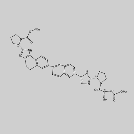 COC(=O)N[C@H](C(=O)N1CCC[C@H]1c1ncc(-c2ccc3cc(-c4ccc5c(c4)CCc4nc([C@@H]6CCCN6C(=O)OC(C)(C)C)[nH]c4-5)ccc3c2)[nH]1)C(C)C